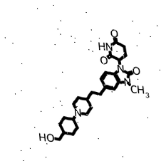 Cn1c(=O)n(C2CCC(=O)NC2=O)c2ccc(CCC3CCN(C4CCC(CO)CC4)CC3)cc21